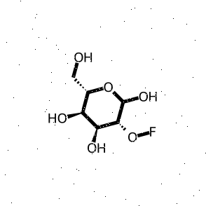 OC[C@@H]1OC(O)[C@H](OF)[C@@H](O)[C@H]1O